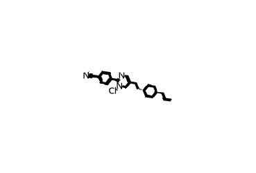 CCC[C@H]1CC[C@H](CCC2=CN=C(c3ccc(C#N)cc3)N(Cl)C2)CC1